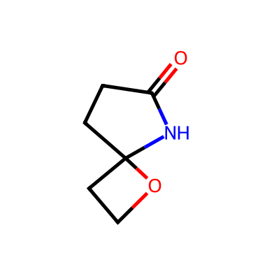 O=C1CCC2(CCO2)N1